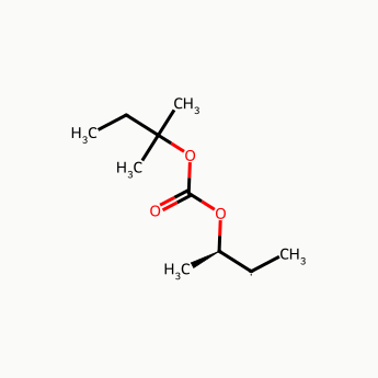 C[CH][C@@H](C)OC(=O)OC(C)(C)CC